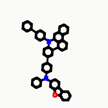 c1ccc(-c2ccc(N(c3ccc4ccccc4c3)c3ccc(-c4ccc(N(c5ccccc5)c5ccc6c(c5)oc5ccccc56)cc4)cc3-c3ccccc3)cc2)cc1